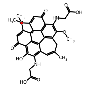 COc1c(NCC(=O)O)c2c(=O)cc(OC)c3c4c(OC)cc(=O)c5c(O)c(NCC(=O)O)c6c(c(c1CC(C)=C6)c23)c54